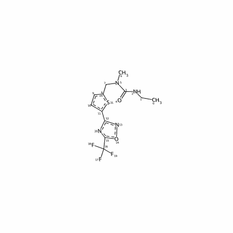 CCNC(=O)N(C)Cc1ccc(-c2noc(C(F)(F)F)n2)s1